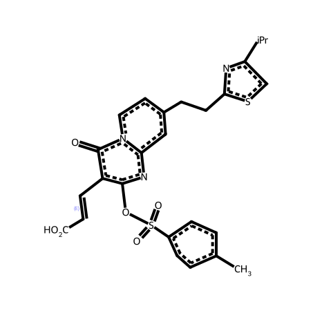 Cc1ccc(S(=O)(=O)Oc2nc3cc(CCc4nc(C(C)C)cs4)ccn3c(=O)c2/C=C/C(=O)O)cc1